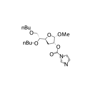 CCCCOC[C@@H](OCCCC)[C@@H]1C[C@@H](OC(=O)n2ccnc2)[C@@H](OC)O1